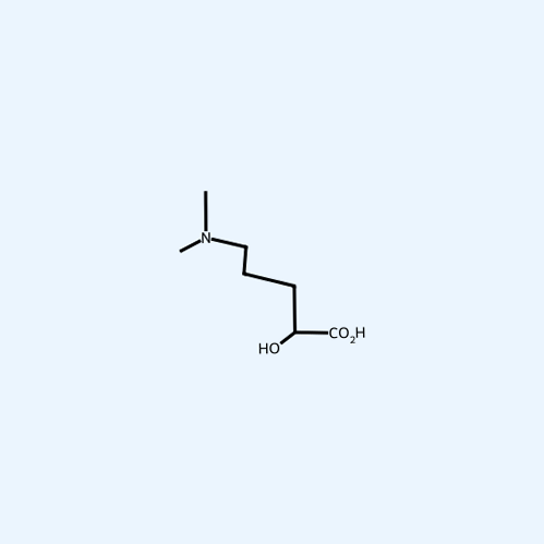 CN(C)CCCC(O)C(=O)O